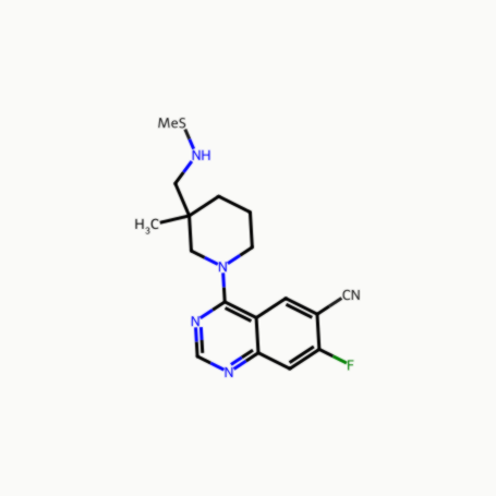 CSNCC1(C)CCCN(c2ncnc3cc(F)c(C#N)cc23)C1